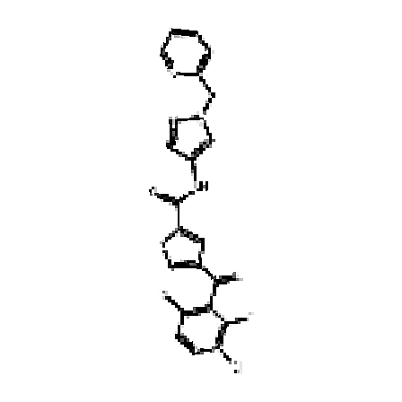 O=C(Nc1cnn(Cc2ccccn2)c1)c1cc(C(=O)c2c(Cl)ccc(Cl)c2F)c[nH]1